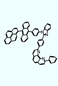 c1ccc(-c2ccc3ccc4ccc(-c5ccc(-c6nc7ccccc7n6-c6ccc(-c7c8ccccc8c(-c8ccc9ccc%10cccc%11ccc8c9c%10%11)c8ccccc78)cc6)cc5)nc4c3n2)cc1